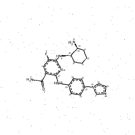 NC(=O)c1cc(F)c(N[C@@H]2CCCC[C@@H]2N)nc1Nc1ccc(-n2ccnc2)cc1